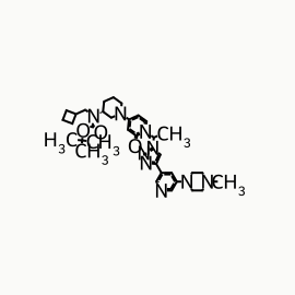 CC(n1cc(-c2cncc(N3CCN(C)CC3)c2)nn1)n1ccc(N2CCC[C@@H](N(CC3CCC3)C(=O)OC(C)(C)C)C2)cc1=O